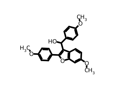 COc1ccc(-c2oc3cc(OC)ccc3c2C(O)c2ccc(OC)cc2)cc1